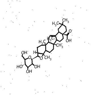 CC1(C)CC[C@]2(C(=O)O)CC[C@]3(C)C(=CCC4[C@@]5(C)CC[C@H]6C([C@@H]7OC(CO)[C@@H](O)C(O)C7O)O[C@@]6(C)C5CC[C@]43C)C2C1